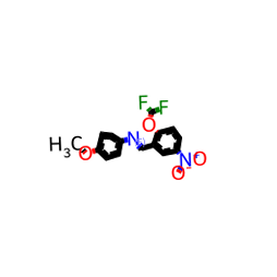 COc1ccc(/N=C/c2cc([N+](=O)[O-])ccc2OC(F)F)cc1